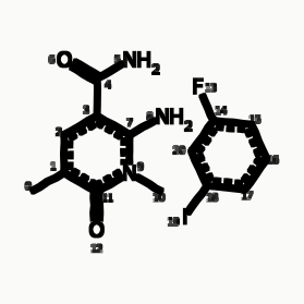 Cc1cc(C(N)=O)c(N)n(C)c1=O.Fc1cccc(I)c1